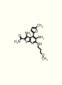 COCCCNc1nc2sc(C(N)=O)c(N)c2c(-c2ccc(C)o2)c1N